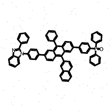 O=P(c1ccccc1)(c1ccccc1)c1ccc(-c2ccc3c(-c4ccccc4)c4cc(-c5ccc(-n6c(-c7ccccc7)nc7ccccc76)cc5)ccc4c(-c4ccc5ccccc5c4)c3c2)cc1